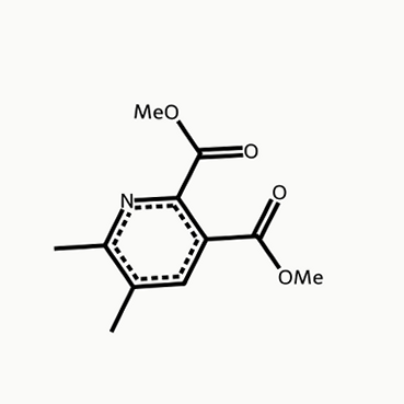 COC(=O)c1cc(C)c(C)nc1C(=O)OC